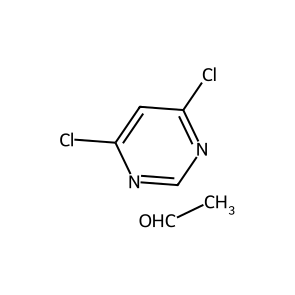 CC=O.Clc1cc(Cl)ncn1